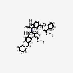 C[C@@H](NC(=O)c1ccc2c(c1)/C(=C(/Nc1ccc(CN3CCCCC3)cc1)c1cnn(C)c1)C(=O)N2)c1ccccc1